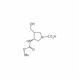 CC(C)(C)OC(=O)N[C@@H]1CN(C(=O)O)CC1CO